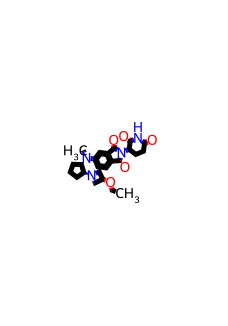 CCOC1CN([C@H]2CCC[C@H]2N(C)c2ccc3c(c2)C(=O)N(C2CCC(=O)NC2=O)C3=O)C1